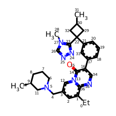 CCc1cc(CN2CCC[C@H](C)C2)cn2c(=O)c(-c3cccc(C4(c5nncn5C)CC(C)C4)c3)cnc12